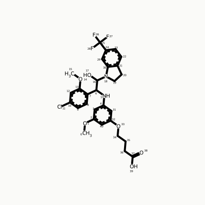 COc1cc(NC(c2ccc(Cl)cc2OC)C(O)N2CCc3ccc(C(F)(F)F)cc32)cc(OCCCC(=O)O)c1